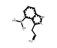 C=CCc1n[nH]c2cccc(B(O)O)c12